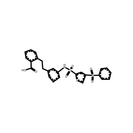 O=C(O)c1ccccc1CCc1cccc(NS(=O)(=O)c2cc(S(=O)(=O)c3ccccc3)cs2)c1